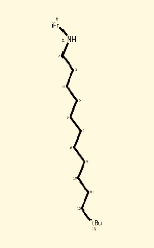 CC(C)NCCCCCCCCCCCC(C)(C)C